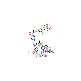 CCc1cc(Nc2ncc(Br)c(Nc3ccc(F)c4ccn(S(C)(=O)=O)c34)n2)c(OC)cc1N1CCC(N2CCN(C(=O)C3CCN(c4cc(F)c(C5CCC(=O)NC5=O)c(F)c4)C3)CC2)CC1